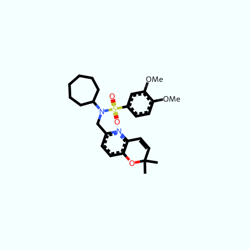 COc1ccc(S(=O)(=O)N(Cc2ccc3c(n2)C=CC(C)(C)O3)C2CCCCCC2)cc1OC